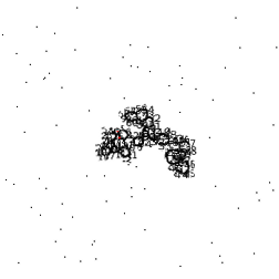 c1cc(-c2ccccc2-c2ccccc2-n2c3ccccc3c3ccccc32)cc(N(c2ccc(-c3cccc4c3oc3ccccc34)cc2)c2ccc3ccc4ccccc4c3c2)c1